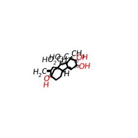 C=C1C[C@]23C[C@@]1(O)CC[C@H]2C1=C[C@@H](O)[C@H](O)[C@@](C)(C(=O)O)[C@H]1[C@@H]3C(=O)O